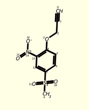 C#CCOc1ccc(S(C)(=O)=O)cc1[N+](=O)[O-]